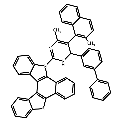 CC1=C(c2c(C)ccc3ccccc23)C(c2cccc(-c3ccccc3)c2)NC(n2c3ccccc3c3c4c5ccccc5sc4c4ccccc4c32)=N1